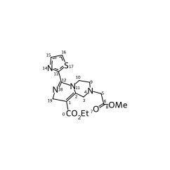 CCOC(=O)C1=C2CN(CC(=O)OC)CCN2C(c2nccs2)=NC1